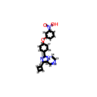 O=[N+](O)c1cccc(Oc2ccc(C3=NC(C4=CC=C4)=C4C=NC=C[N+]34)cc2)c1